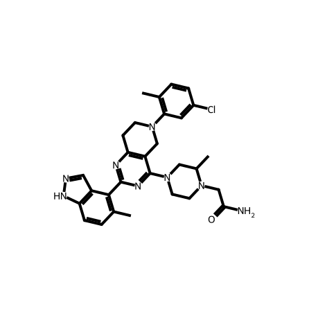 Cc1ccc(Cl)cc1N1CCc2nc(-c3c(C)ccc4[nH]ncc34)nc(N3CCN(CC(N)=O)C(C)C3)c2C1